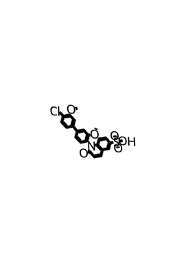 COc1cc(-c2ccc(-n3c(=O)ccc4cc(S(=O)(=O)O)ccc43)c(OC)c2)ccc1Cl